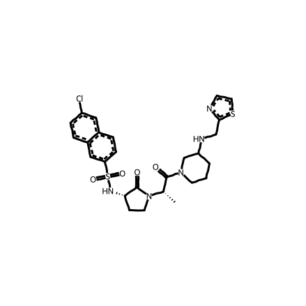 C[C@@H](C(=O)N1CCCC(NCc2nccs2)C1)N1CC[C@H](NS(=O)(=O)c2ccc3cc(Cl)ccc3c2)C1=O